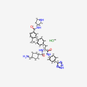 Cc1ccc(C(=O)N[C@@H]2CCNC2)cc1-c1ccc(C[C@H](NC(=O)C2CCC(CN)CC2)C(=O)Nc2ccc(-c3nn[nH]n3)cc2)cc1.Cl